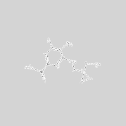 COC(=O)c1cc(Cl)c([N+](=O)[O-])c(NCC2(CC#N)CC2)c1